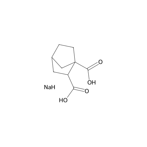 O=C(O)C1CC2CCC1(C(=O)O)C2.[NaH]